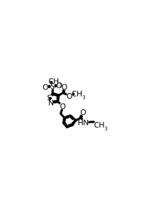 CCNC(=O)c1cccc(COc2nsc(S(C)(=O)=O)c2C(=O)OC)c1